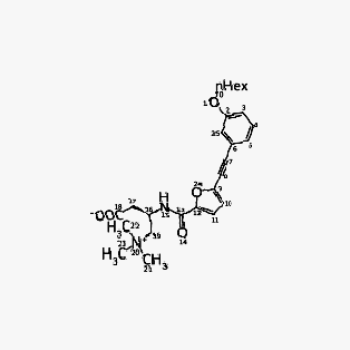 CCCCCCOc1cccc(C#Cc2ccc(C(=O)N[C@H](CC(=O)[O-])C[N+](C)(C)C)o2)c1